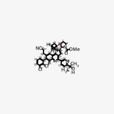 COC(=O)N1CCC[C@@H]1c1cc2c(-c3ccc(C(C)(C)O)nc3)nc3c(F)c(-c4cccc(Cl)c4Cl)c(CCC#N)cc3c2n1[C@H]1[C@H]2CN[C@@H]1C2